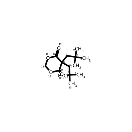 CC(C)(C)CC1(CC(C)(C)C)C(=O)OCOC1=O